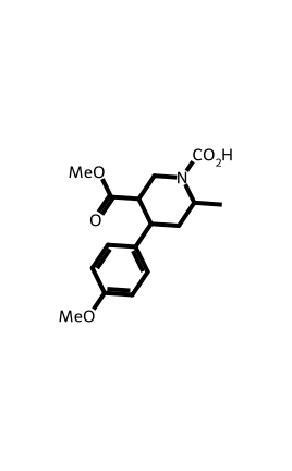 COC(=O)C1CN(C(=O)O)C(C)CC1c1ccc(OC)cc1